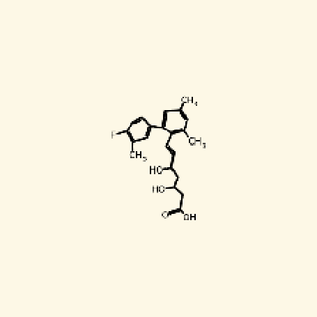 Cc1cc(C)c(/C=C/C(O)CC(O)CC(=O)O)c(-c2ccc(F)c(C)c2)c1